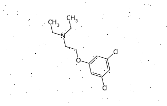 CCN(CC)CCOc1cc(Cl)cc(Cl)c1